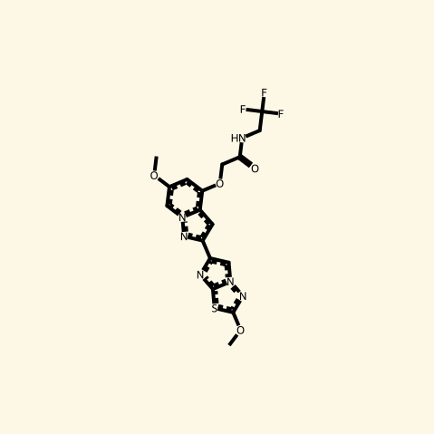 COc1cc(OCC(=O)NCC(F)(F)F)c2cc(-c3cn4nc(OC)sc4n3)nn2c1